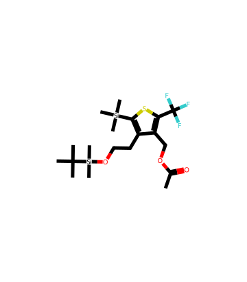 CC(=O)OCc1c(C(F)(F)F)sc([Si](C)(C)C)c1CCO[Si](C)(C)C(C)(C)C